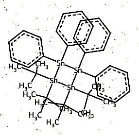 C[C](C)(C)[Sn]1([C](C)(C)C)[Sn]([c]2ccccc2)([c]2ccccc2)[Sn]([c]2ccccc2)([c]2ccccc2)[Sn]1([C](C)(C)C)[C](C)(C)C